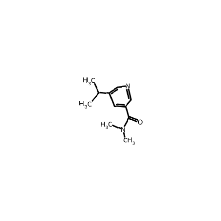 CC(C)c1cncc(C(=O)N(C)C)c1